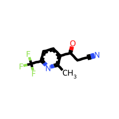 Cc1nc(C(F)(F)F)ccc1C(=O)CC#N